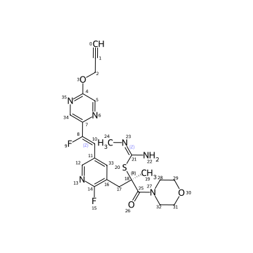 C#CCOc1cnc(/C(F)=C/c2cnc(F)c(C[C@@](C)(S/C(N)=N\C)C(=O)N3CCOCC3)c2)cn1